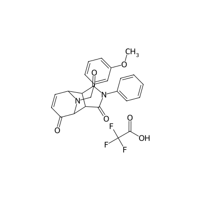 COc1cccc(CN2C3C=CC(=O)C2C2C(=O)N(c4ccccc4)C(=O)C23)c1.O=C(O)C(F)(F)F